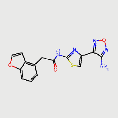 Nc1nonc1-c1csc(NC(=O)Cc2cccc3occc23)n1